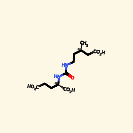 C[C@@H](CCNC(=O)N[C@@H](CCC(=O)O)C(=O)O)CC(=O)O